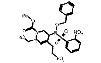 CC(C)(C)OC(=O)N1CC(N(OCc2ccccc2)S(=O)(=O)c2ccccc2[N+](=O)[O-])C(CC[N+](=O)[O-])=C[C@H]1CO